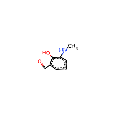 CNc1cccc(C=O)c1O